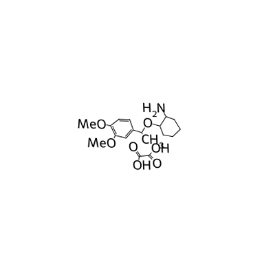 COc1ccc(C(C)OC2CCCCC2N)cc1OC.O=C(O)C(=O)O